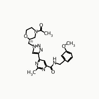 COc1cccc(CNC(=O)c2cc(-c3cn(C[C@@H]4CN(C(C)=O)CCO4)nn3)nc(C)n2)c1